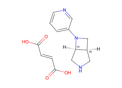 O=C(O)C=CC(=O)O.c1cncc(N2C[C@H]3CNC[C@H]32)c1